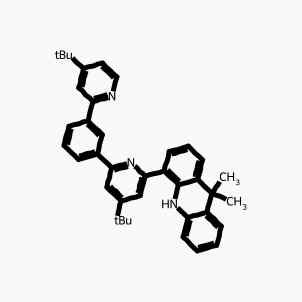 CC(C)(C)c1ccnc(-c2cccc(-c3cc(C(C)(C)C)cc(-c4cccc5c4Nc4ccccc4C5(C)C)n3)c2)c1